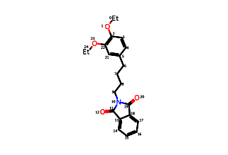 CCOc1ccc(CCCCN2C(=O)c3ccccc3C2=O)cc1OCC